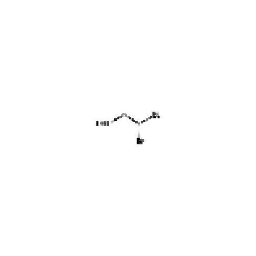 CCC(Br)CC=O